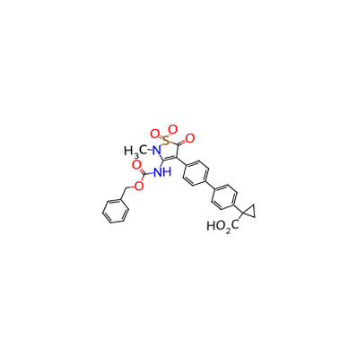 CN1C(NC(=O)OCc2ccccc2)=C(c2ccc(-c3ccc(C4(C(=O)O)CC4)cc3)cc2)C(=O)S1(=O)=O